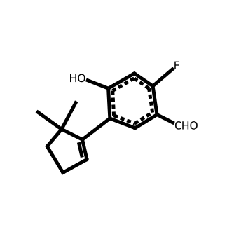 CC1(C)CCC=C1c1cc(C=O)c(F)cc1O